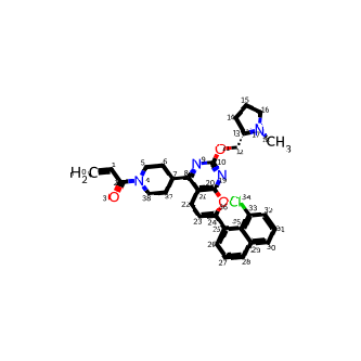 C=CC(=O)N1CCC(c2nc(OC[C@@H]3CCCN3C)nc3c2CC=C(c2cccc4cccc(Cl)c24)O3)CC1